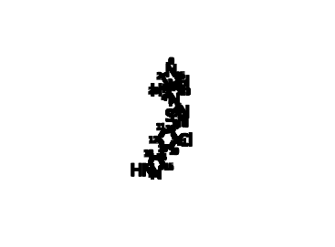 CN1C[C@@H]2CN(c3nnc(-c4ccc(-c5cn[nH]c5)cc4Cl)s3)C[C@@H]2C1